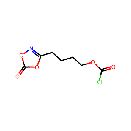 O=C(Cl)OCCCCc1noc(=O)o1